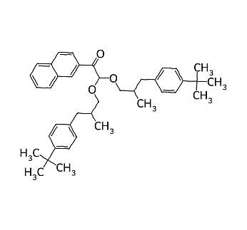 CC(COC(OCC(C)Cc1ccc(C(C)(C)C)cc1)C(=O)c1ccc2ccccc2c1)Cc1ccc(C(C)(C)C)cc1